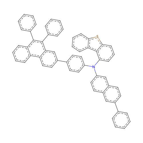 c1ccc(-c2ccc3cc(N(c4ccc(-c5ccc6c(c5)c(-c5ccccc5)c(-c5ccccc5)c5ccccc56)cc4)c4cccc5sc6ccccc6c45)ccc3c2)cc1